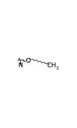 CCCCCCCCCCc1ccc(C=CC2(C#N)CC2)cc1